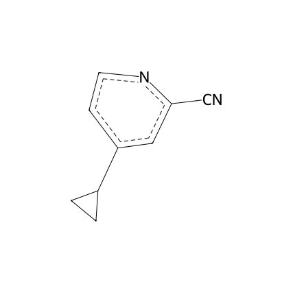 N#Cc1cc(C2CC2)ccn1